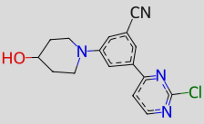 N#Cc1cc(-c2ccnc(Cl)n2)cc(N2CCC(O)CC2)c1